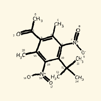 CC(=O)c1c(C)c([N+](=O)[O-])c(C(C)(C)C)c([N+](=O)[O-])c1C